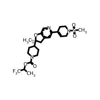 CC(OC(=O)N1CCC([C@]2(C)Cc3cc(C4=CCN(S(C)(=O)=O)CC4)ncc3O2)CC1)C(F)(F)F